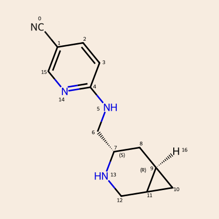 N#Cc1ccc(NC[C@@H]2C[C@H]3CC3CN2)nc1